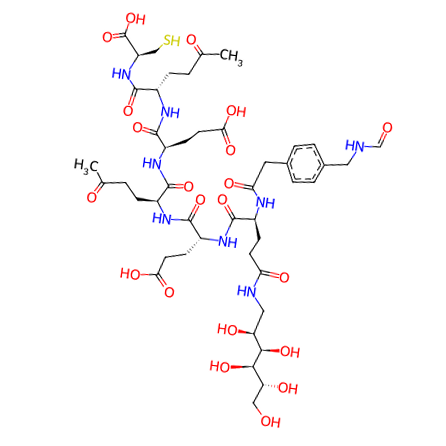 CC(=O)CC[C@H](NC(=O)[C@@H](CCC(=O)O)NC(=O)[C@H](CCC(C)=O)NC(=O)[C@@H](CCC(=O)O)NC(=O)[C@H](CCC(=O)NC[C@H](O)[C@@H](O)[C@H](O)[C@H](O)CO)NC(=O)Cc1ccc(CNC=O)cc1)C(=O)N[C@H](CS)C(=O)O